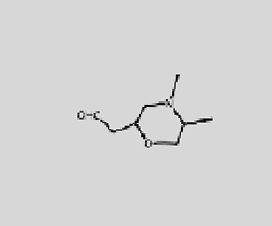 CC1COC(CC=O)CN1C